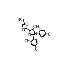 CC1C(c2ncc(C(C)(C)C)o2)N=C(c2ccc(Cl)cc2Cl)N1c1ccc(Cl)cc1